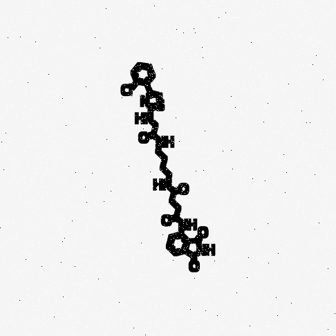 O=C(CCC(=O)Nc1cccc2c1C(=O)NC2=O)NCCCCNC(=O)CNc1nc(-c2ccccc2Cl)cs1